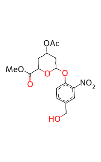 COC(=O)C1CC(OC(C)=O)CC(Oc2ccc(CO)cc2[N+](=O)[O-])O1